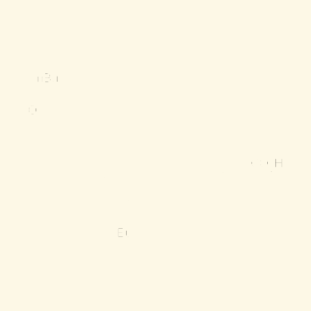 CCCCOc1ccc(C(CC)C2CCC(C(=O)O)CC2)cc1